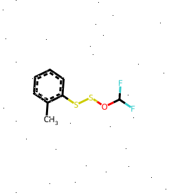 Cc1ccccc1SSOC(F)F